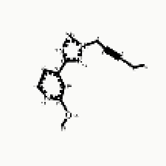 CCC#CCn1nnc(-c2ccnc(OC)c2)n1